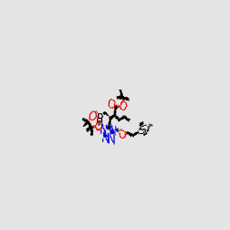 CCCC(C(=O)OC(C)(C)C)[C@H](CB1OC(C)(C)C(C)(C)O1)c1nnnn1COCC[Si](C)(C)C